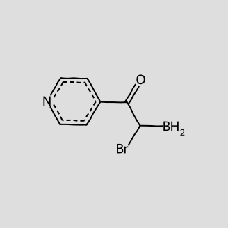 BC(Br)C(=O)c1ccncc1